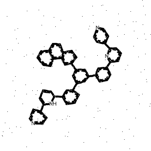 C1=CC(c2cccc(-c3cc(-c4cccc(-c5cccc(-c6ccncc6)n5)c4)cc(-c4ccc5ccc6ccccc6c5c4)c3)c2)NC(c2ccncc2)=C1